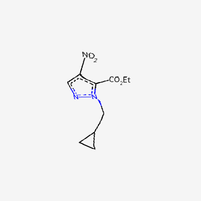 CCOC(=O)c1c([N+](=O)[O-])cnn1CC1CC1